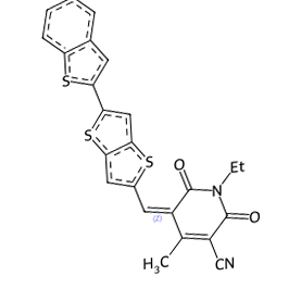 CCN1C(=O)C(C#N)=C(C)/C(=C/c2cc3sc(-c4cc5ccccc5s4)cc3s2)C1=O